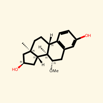 CO[C@H]1Cc2cc(O)ccc2[C@H]2CC[C@]3(C)C[C@H](O)C[C@H]3[C@H]12